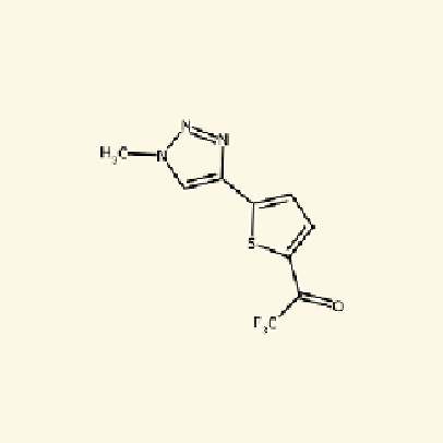 Cn1cc(-c2ccc(C(=O)C(F)(F)F)s2)nn1